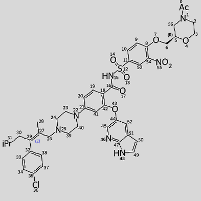 CC(=O)N1CCO[C@@H](COc2ccc(S(=O)(=O)NC(=O)c3ccc(N4CCN(C/C(C)=C(/CC(C)C)c5ccc(Cl)cc5)CC4)cc3Oc3cnc4[nH]ccc4c3)cc2[N+](=O)[O-])C1